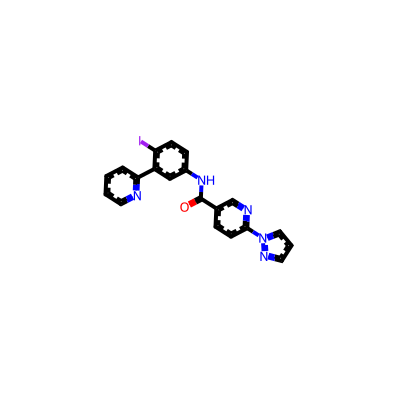 O=C(Nc1ccc(I)c(-c2ccccn2)c1)c1ccc(-n2cccn2)nc1